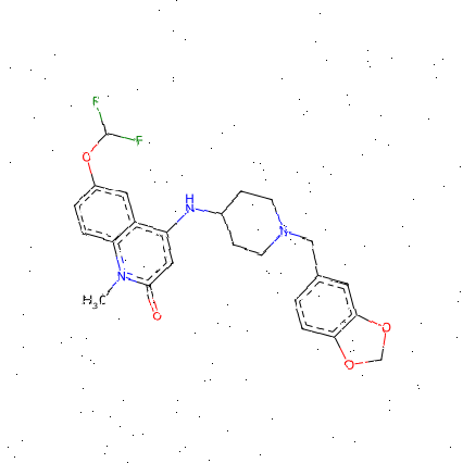 Cn1c(=O)cc(NC2CCN(Cc3ccc4c(c3)OCO4)CC2)c2cc(OC(F)F)ccc21